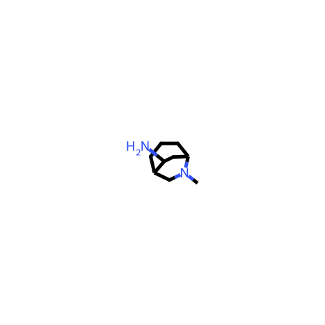 CN1CC2CCCC1CC2N